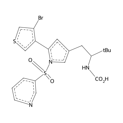 CC(C)(C)C(Cc1cc(-c2cscc2Br)n(S(=O)(=O)c2cccnc2)c1)NC(=O)O